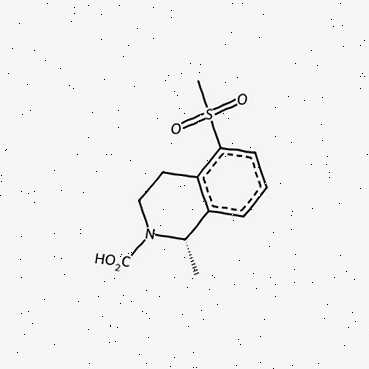 C[C@H]1c2cccc(S(C)(=O)=O)c2CCN1C(=O)O